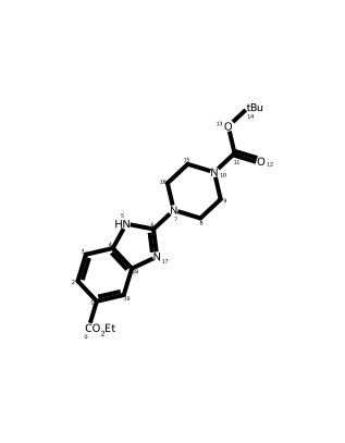 CCOC(=O)c1ccc2[nH]c(N3CCN(C(=O)OC(C)(C)C)CC3)nc2c1